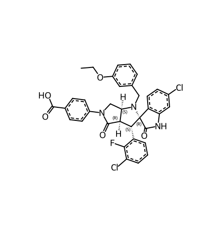 CCOc1cccc(CN2[C@@H]3CN(c4ccc(C(=O)O)cc4)C(=O)[C@@H]3[C@@H](c3cccc(Cl)c3F)[C@@]23C(=O)Nc2cc(Cl)ccc23)c1